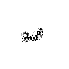 CN/C=C(\C=N)c1cc(Nc2ncc(Br)c(Nc3ccc4nccnc4c3P(C)C)n2)c(C)nc1N1CCOCC1